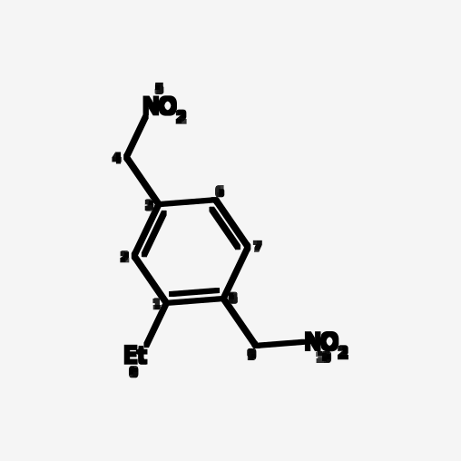 CCc1cc(C[N+](=O)[O-])ccc1C[N+](=O)[O-]